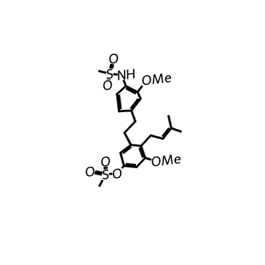 COc1cc(CCc2cc(OS(C)(=O)=O)cc(OC)c2CC=C(C)C)ccc1NS(C)(=O)=O